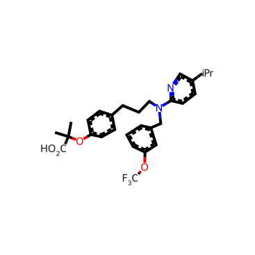 CC(C)c1ccc(N(CCCc2ccc(OC(C)(C)C(=O)O)cc2)Cc2cccc(OC(F)(F)F)c2)nc1